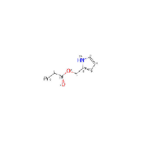 CC(C)CC(=O)OCc1ccc[nH]1